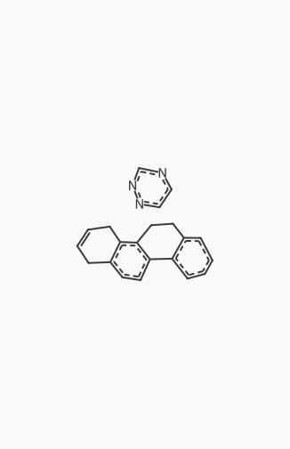 C1=CCc2c(ccc3c2CCc2ccccc2-3)C1.c1cnncn1